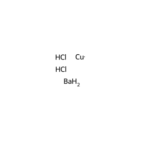 Cl.Cl.[BaH2].[Cu]